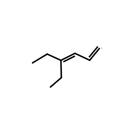 [CH]=CC=C(CC)CC